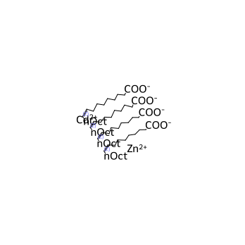 CCCCCCCC/C=C\CCCCCCCC(=O)[O-].CCCCCCCC/C=C\CCCCCCCC(=O)[O-].CCCCCCCC/C=C\CCCCCCCC(=O)[O-].CCCCCCCC/C=C\CCCCCCCC(=O)[O-].[Cd+2].[Zn+2]